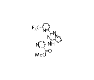 COC(=O)c1cnccc1Nc1nc(-c2cccc(C(F)(F)F)n2)nn2cccc12